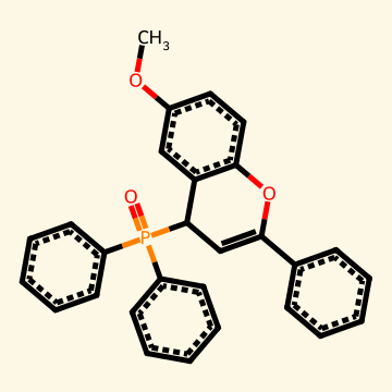 COc1ccc2c(c1)C(P(=O)(c1ccccc1)c1ccccc1)C=C(c1ccccc1)O2